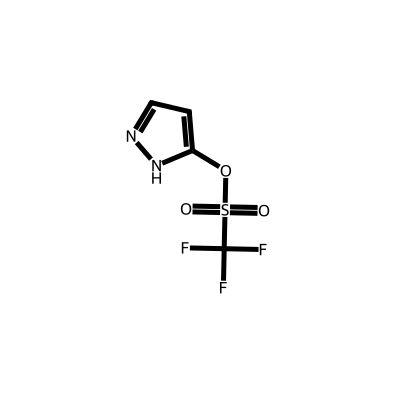 O=S(=O)(Oc1ccn[nH]1)C(F)(F)F